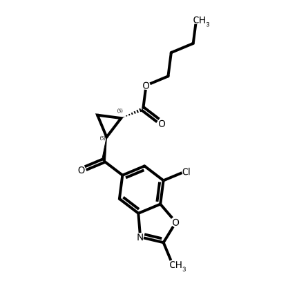 CCCCOC(=O)[C@H]1C[C@@H]1C(=O)c1cc(Cl)c2oc(C)nc2c1